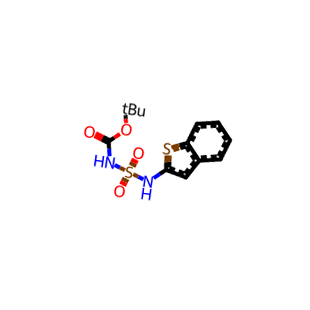 CC(C)(C)OC(=O)NS(=O)(=O)Nc1cc2ccccc2s1